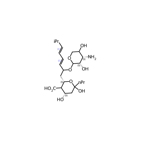 CCCC1(O)C[C@H](O)C(C(=O)O)[C@H](CC(/C=C/C=C/C(C)C)OC2OCC(O)[C@H](N)[C@@H]2O)O1